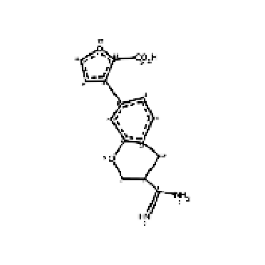 N=C(N)C1COc2cc(-c3ccoc3C(=O)O)ccc2C1